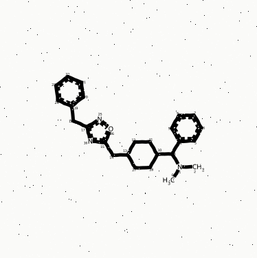 CN(C)C(c1ccccc1)C1CCC(Cc2nc(Cc3ccccc3)no2)CC1